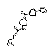 CCCCOC(=O)NC1CCN(C(=O)c2ccc(-n3ccnc3)cc2)CC1